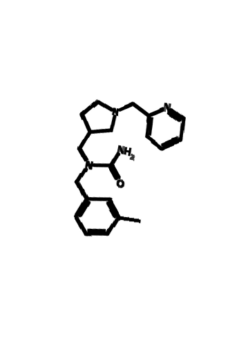 Cc1cccc(CN(CC2CCN(Cc3ccccn3)C2)C(N)=O)c1